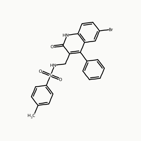 Cc1ccc(S(=O)(=O)NCc2c(-c3ccccc3)c3cc(Br)ccc3[nH]c2=O)cc1